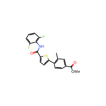 COC(=O)c1ccc(-c2ccc(C(=O)Nc3c(F)cccc3F)s2)c(C)c1